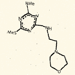 CNc1nc(NCCN2CCOCC2)nc(SC)n1